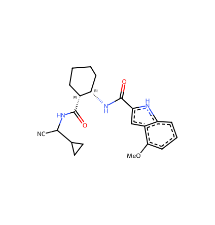 COc1cccc2[nH]c(C(=O)N[C@H]3CCCC[C@H]3C(=O)NC(C#N)C3CC3)cc12